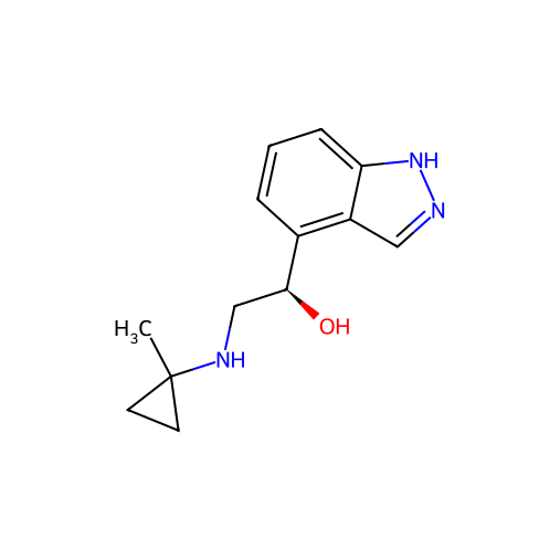 CC1(NC[C@H](O)c2cccc3[nH]ncc23)CC1